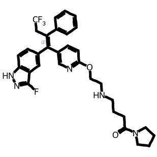 O=C(CCCNCCOc1ccc(/C(=C(/CC(F)(F)F)c2ccccc2)c2ccc3[nH]nc(F)c3c2)cn1)N1CCCC1